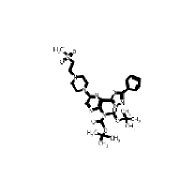 CC(C)(C)OC(=O)N(C(=O)OC(C)(C)C)c1ncc(N2CCN(CCS(C)(=O)=O)CC2)nc1-c1nnc(-c2ccccc2)o1